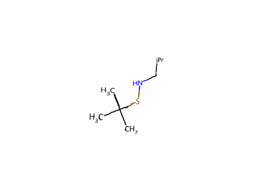 CC(C)CNSC(C)(C)C